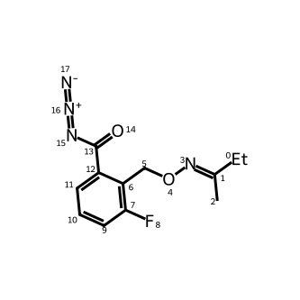 CCC(C)=NOCc1c(F)cccc1C(=O)N=[N+]=[N-]